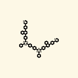 c1ccc(-c2nc(-c3ccc(-c4ccc(-c5nc(-c6ccccc6)nc(-c6ccc(-c7ccc(-c8ccc(-c9ccccn9)cc8)c8ccccc78)cc6)n5)cc4)cc3)nc(-c3ccc(-c4ccc(-c5ccc(-c6cccnc6)cc5)c5ccccc45)cc3)n2)cc1